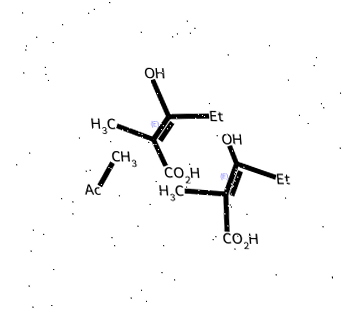 CC(C)=O.CC/C(O)=C(/C)C(=O)O.CC/C(O)=C(/C)C(=O)O